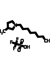 CCCCCCCCN1CCC(C)C1.O=S(=O)(O)C(F)(F)F